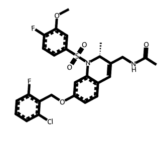 COc1cc(S(=O)(=O)N2c3cc(OCc4c(F)cccc4Cl)ccc3C=C(CNC(C)=O)[C@H]2C)ccc1F